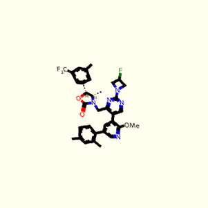 COc1ncc(-c2ccc(C)cc2C)cc1-c1cnc(N2CC(F)C2)nc1CN1C(=O)O[C@H](c2cc(C)cc(C(F)(F)F)c2)[C@@H]1C